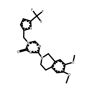 COc1cc2c(cc1OC)CN(c1ncn(Cc3ccc(C(F)(F)F)s3)c(=O)n1)CC2